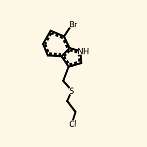 ClCCSCc1c[nH]c2c(Br)cccc12